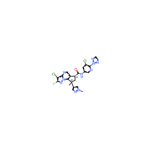 Cn1cc([C@@]2(C)C[C@H](C(=O)Nc3cnc(-n4nccn4)c(Cl)c3)c3cnc4c(Cl)c(F)nn4c32)cn1